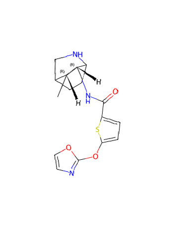 C[C@@H]1C2CCC(NC2)[C@@H]1NC(=O)c1ccc(Oc2ncco2)s1